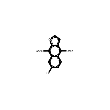 COc1c2ccc(Cl)cc2c(OC)c2occc12